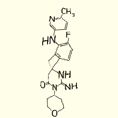 Cc1ccc(Nc2c(F)ccc3c2C[C@]32CC(=O)N(C3CCOCC3)C(=N)N2)cn1